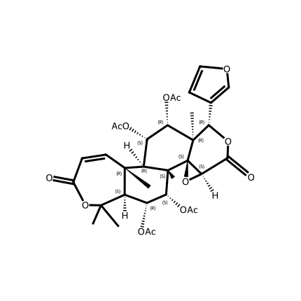 CC(=O)O[C@H]1[C@@H](OC(C)=O)[C@]2(C)[C@H]([C@H](OC(C)=O)[C@H](OC(C)=O)[C@@]3(C)[C@H](c4ccoc4)OC(=O)[C@H]4O[C@@]423)[C@@]2(C)C=CC(=O)OC(C)(C)[C@H]12